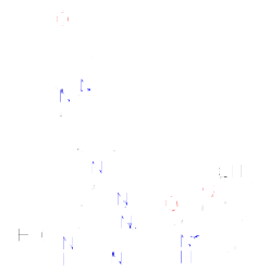 CNc1cc(N2CCc3c2cccc3-n2cc(C=O)cn2)nn2c(C(=O)N[C@@H]3CC[C@H]3OC)cnc12